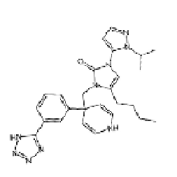 CCCCc1cn(-c2ccnn2C(C)C)c(=O)n1CC1(c2cccc(-c3nnn[nH]3)c2)C=CNC=C1